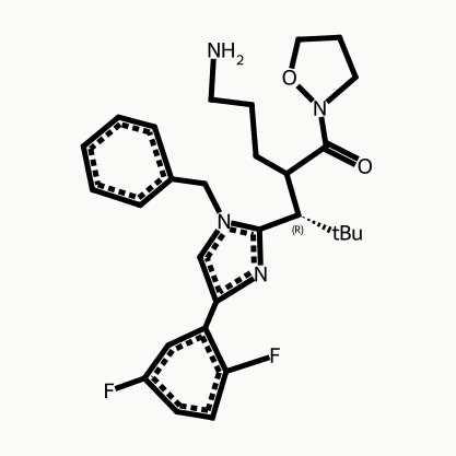 CC(C)(C)[C@H](c1nc(-c2cc(F)ccc2F)cn1Cc1ccccc1)C(CCCN)C(=O)N1CCCO1